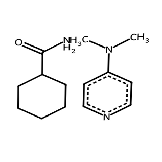 CN(C)c1ccncc1.NC(=O)C1CCCCC1